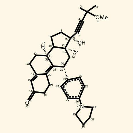 COC(C)(C)C#C[C@]1(O)CCC2[C@@H]3CCC4=CC(=O)CCC4=C3[C@@H](c3ccc(N4CCCC4)cc3)C[C@@]21C